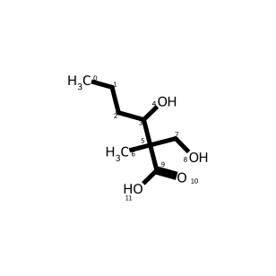 CCCC(O)C(C)(CO)C(=O)O